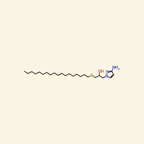 CCCCCCCCCCCCCCCCCCSCC(O)Cn1ccc(N)n1